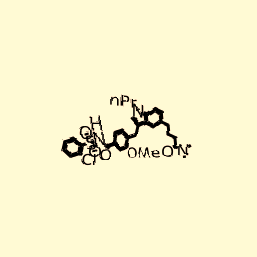 CCCn1cc(Cc2ccc(C(=O)NS(=O)(=O)c3ccccc3Cl)cc2OC)c2cc(CCCC(=O)N(C)C)ccc21